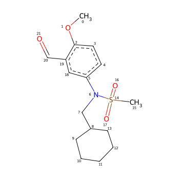 COc1ccc(N(CC2CCCCC2)S(C)(=O)=O)cc1C=O